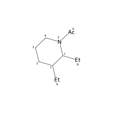 CCC1CCCN(C(C)=O)C1CC